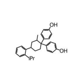 CC(C)c1ccccc1C1CCC(c2ccc(O)cc2)(c2ccc(O)cc2)C(C)C1